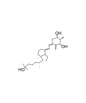 C=C1/C(=C\C=C2CCC[C@@]3(C)C2CC[C@@H]3[C@H](C)CCCC(C)(C)O)C[C@@H](O)[C@@H](C)[C@H]1O